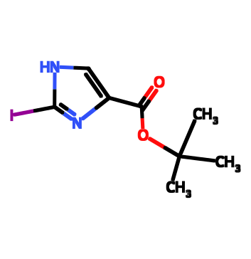 CC(C)(C)OC(=O)c1c[nH]c(I)n1